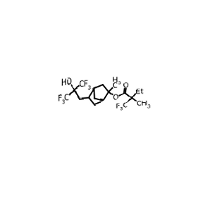 CCC(C)(C(=O)OC1(C)CC2CC1CC2CC(O)(C(F)(F)F)C(F)(F)F)C(F)(F)F